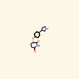 O=C1CC[C@H](Oc2ccc(C3CCNC3)cc2)C(=O)N1